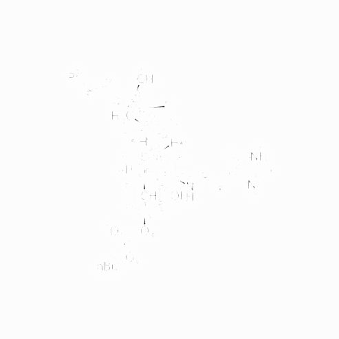 CCCCOC(=O)O[C@H]1CC[C@]2(C)[C@H]3CC[C@]4(C)[C@@H]([C@H](C)CCCC(C)C)CC[C@H]4[C@@H]3C[C@@H](NCCc3c[nH]cn3)[C@@]2(O)C1